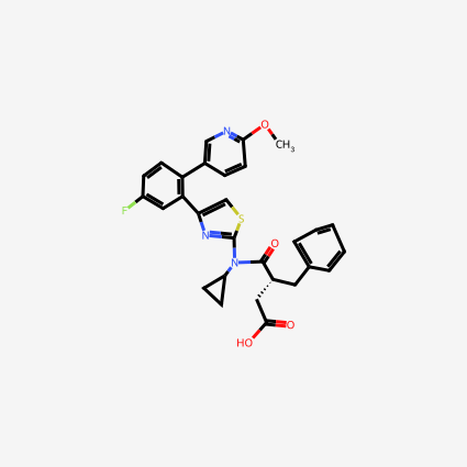 COc1ccc(-c2ccc(F)cc2-c2csc(N(C(=O)[C@@H](CC(=O)O)Cc3ccccc3)C3CC3)n2)cn1